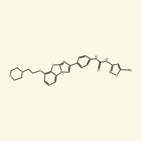 CC(C)(C)c1cc(NC(=O)Nc2ccc(-c3cn4c(n3)sc3c(OCCN5CCOCC5)cccc34)cc2)no1